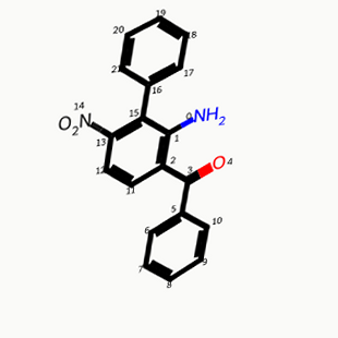 Nc1c(C(=O)c2ccccc2)ccc([N+](=O)[O-])c1-c1ccccc1